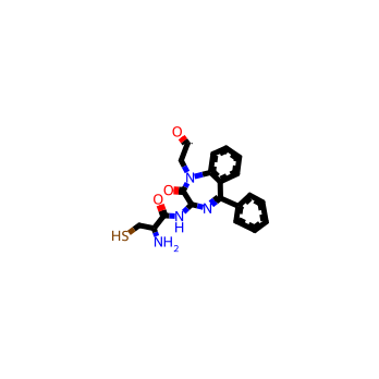 NC(CS)C(=O)NC1N=C(c2ccccc2)c2ccccc2N(C[C]=O)C1=O